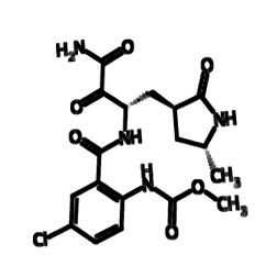 COC(=O)Nc1ccc(Cl)cc1C(=O)N[C@@H](C[C@@H]1C[C@@H](C)NC1=O)C(=O)C(N)=O